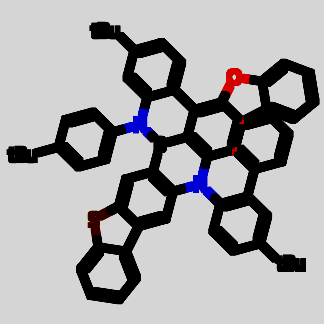 CC(C)(C)c1ccc(N2B3c4cc5sc6ccccc6c5cc4N(c4ccc(C(C)(C)C)cc4-c4ccccc4)c4cc5c(oc6ccccc65)c(c43)-c3ccc(C(C)(C)C)cc32)cc1